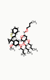 CCCCOC[C@@H]1C[C@H](OCCCC)[C@@H](OCCCC)[C@H](c2cc(C3(c4cc5ccccc5s4)CC3)c(OC)cc2OCCCC)O1